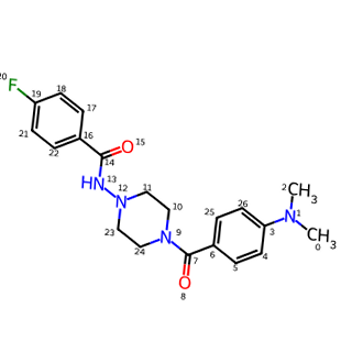 CN(C)c1ccc(C(=O)N2CCN(NC(=O)c3ccc(F)cc3)CC2)cc1